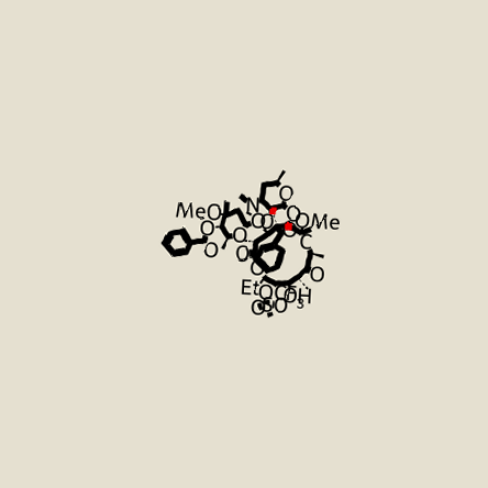 CC[C@H]1OC(=O)[C@H](C)[C@@H](OC2C[C@@](C)(OC)[C@@H](OC(=O)c3ccccc3)[C@H](C)O2)[C@H](C)[C@@H](OC2O[C@H](C)C[C@H](N(C)C)[C@H]2OC(=O)c2ccccc2)[C@@](C)(OC)C[C@@H](C)C(=O)[C@H](C)[C@@H](O)[C@]1(OS(C)(=O)=O)C(F)(F)F